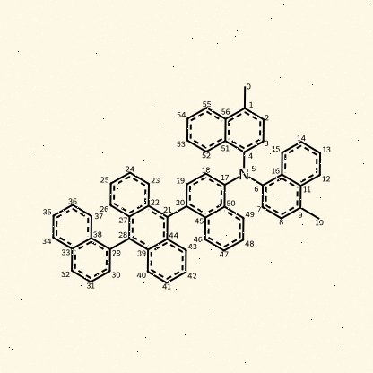 Cc1ccc(N(c2ccc(C)c3ccccc23)c2ccc(-c3c4ccccc4c(-c4cccc5ccccc45)c4ccccc34)c3ccccc23)c2ccccc12